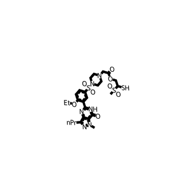 CCCc1nn(C)c2c(=O)[nH]c(-c3cc(S(=O)(=O)N4CCN(CC(=O)OCC(S)S(C)(=O)=O)CC4)ccc3OCC)nc12